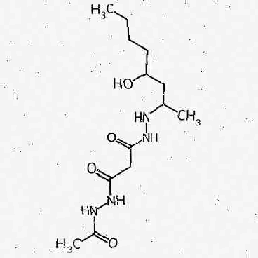 CCCCC(O)CC(C)NNC(=O)CC(=O)NNC(C)=O